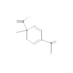 CC1(C(N)=O)C=CC(C(N)=O)=CC1